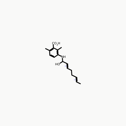 C/C=C/CC/C=C/C(O)Nc1ccc(C)c(C(=O)O)c1C